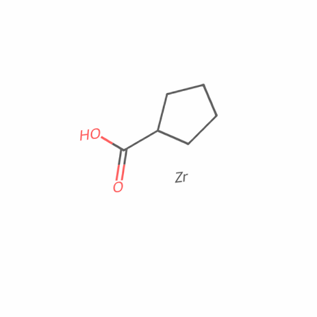 O=C(O)C1CCCC1.[Zr]